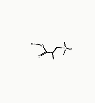 CC(C[Si](C)(C)F)C(=O)OC(C)(C)C